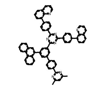 Cc1cc(C)nc(-c2ccc(-c3cc(-c4nc(-c5ccc(-c6cccc7cccnc67)cc5)nc(-c5ccc(-c6cccc7cccnc67)cc5)n4)cc(-c4cc5ccccc5c5ccccc45)c3)cc2)n1